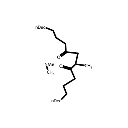 CCCCCCCCCCCCCC(=O)CC(C)C(=O)CCCCCCCCCCCCC.CNC